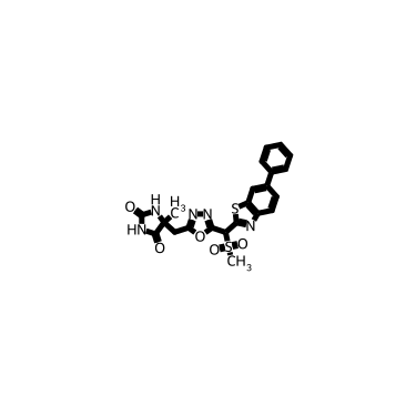 CC1(Cc2nnc(C(c3nc4ccc(-c5ccccc5)cc4s3)S(C)(=O)=O)o2)NC(=O)NC1=O